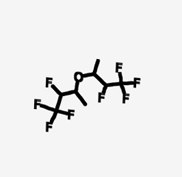 CC(OC(C)C(F)C(F)(F)F)C(F)C(F)(F)F